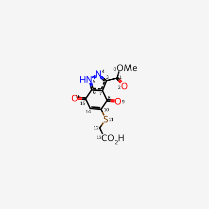 COC(=O)c1n[nH]c2c1C(=O)C(SCC(=O)O)=CC2=O